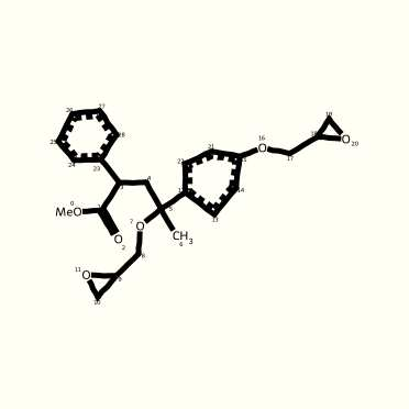 COC(=O)C(CC(C)(OCC1CO1)c1ccc(OCC2CO2)cc1)c1ccccc1